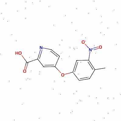 Cc1ccc(Oc2ccnc(C(=O)O)c2)cc1[N+](=O)[O-]